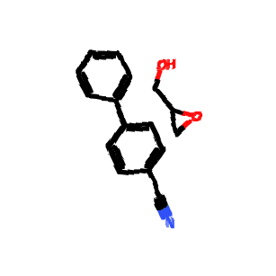 N#Cc1ccc(-c2ccccc2)cc1.OCC1CO1